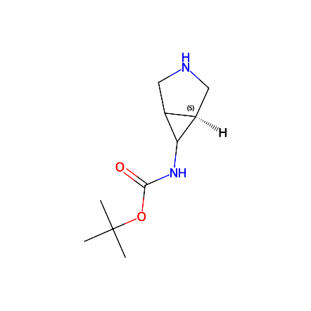 CC(C)(C)OC(=O)NC1C2CNC[C@H]21